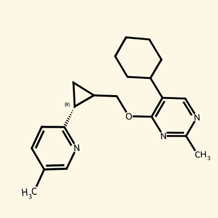 Cc1ccc([C@@H]2CC2COc2nc(C)ncc2C2CCCCC2)nc1